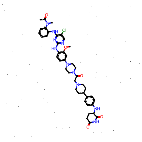 COc1cc(N2CCN(C(=O)CN3CCC(c4ccc(NC5CCC(=O)NC5=O)cc4)CC3)CC2)ccc1Nc1ncc(Cl)c(Nc2ccccc2N(C)C(C)=O)n1